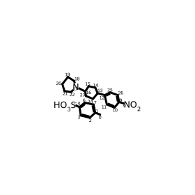 Cc1ccc(S(=O)(=O)O)cc1.O=[N+]([O-])c1ccc(C2CCC(N3CCCCC3)CC2)cc1